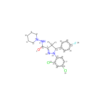 CC1(C)C(C(=O)NN2CCCCC2)=NN(c2ccc(Cl)cc2Cl)C1c1ccc(F)cc1